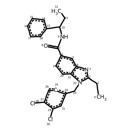 CCc1nc2cc(C(=O)NC(CC)c3ccccc3)ccc2n1Cc1ccc(Cl)c(Cl)c1